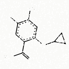 COC(=O)c1cc(F)c(C#N)cc1OC1CC1